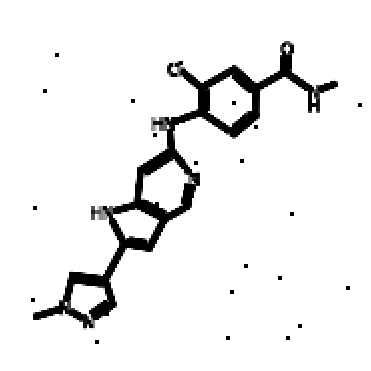 CNC(=O)c1ccc(Nc2cc3[nH]c(-c4cnn(C)c4)cc3cn2)c(Cl)c1